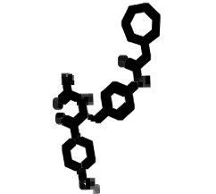 CCC(=O)N[C@H](Cc1ccc(NC(=O)CC2CCCCCC2)cc1)C(=O)N1CCN(C)CC1